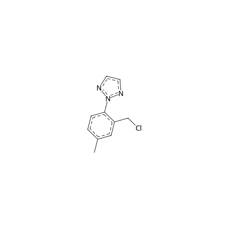 Cc1ccc(-n2nccn2)c(CCl)c1